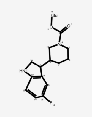 CC(C)(C)OC(=O)N1CCCC(C2CNc3ccc(F)cc32)C1